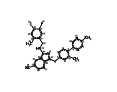 Cc1cnc(-c2ccc(Cn3nc(NCc4cc(F)c(F)cc4C)c4cc(C#N)cnc43)cc2C)cn1